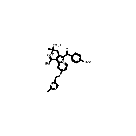 CCCC(C)(Cc1c(C(=O)C(C)(C)C)c2cc(OCc3csc(C)n3)ccn2c1C(=O)c1ccc(OC)cc1)C(=O)O